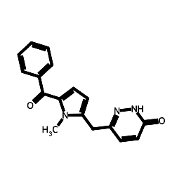 Cn1c(Cc2ccc(=O)[nH]n2)ccc1C(=O)c1ccccc1